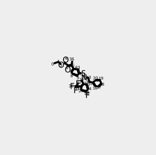 CCOC(=O)c1oc2ccc(SN(CCc3ccccc3)Cc3ccc(F)cc3C(F)(F)F)cc2c1C